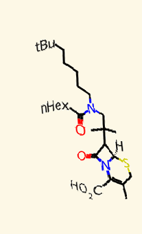 CCCCCCC(=O)N(CCCCCC(C)(C)C)CC(C)(C)C1C(=O)N2C(C(=O)O)=C(C)CS[C@H]12